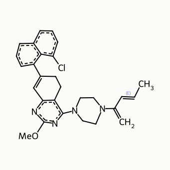 C=C(/C=C/C)N1CCN(c2nc(OC)nc3c2CCC(c2cccc4cccc(Cl)c24)=C3)CC1